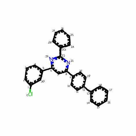 Clc1cccc(-c2cc(-c3ccc(-c4ccccc4)cc3)nc(-c3ccccc3)n2)c1